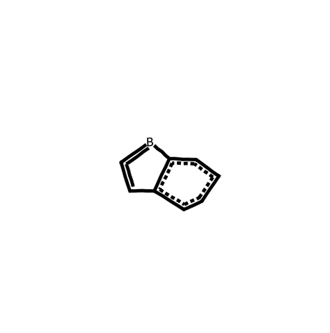 B1=C=Cc2ccccc21